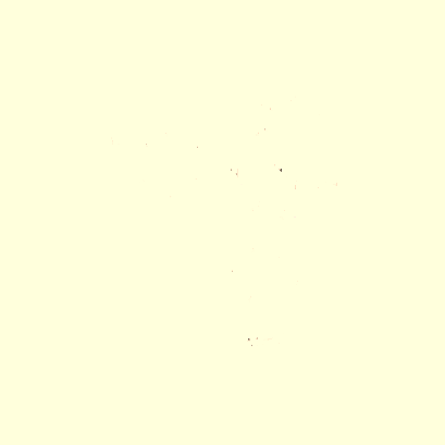 COCc1cccc(/C=C2\S/C(=N\Cc3ccc(C(C)(C)C)cc3)N(c3ccccc3)C2=O)c1